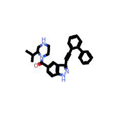 CC(C)C1CNCCN1C(=O)c1ccc2[nH]nc(C#Cc3ccccc3-c3ccccc3)c2c1